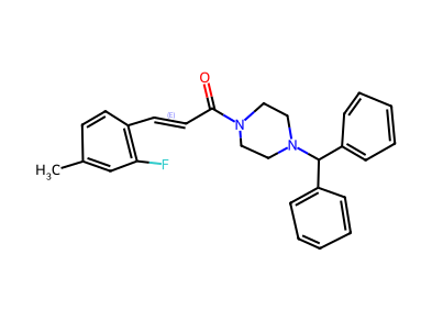 Cc1ccc(/C=C/C(=O)N2CCN(C(c3ccccc3)c3ccccc3)CC2)c(F)c1